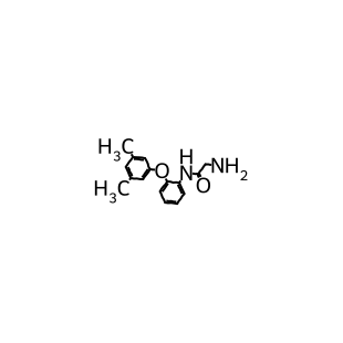 Cc1cc(C)cc(Oc2ccccc2NC(=O)CN)c1